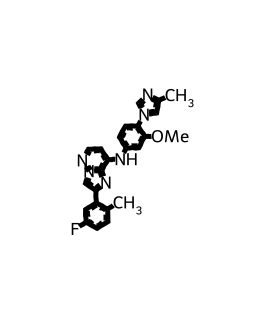 COc1cc(Nc2ccnn3cc(-c4cc(F)ccc4C)nc23)ccc1-n1cnc(C)c1